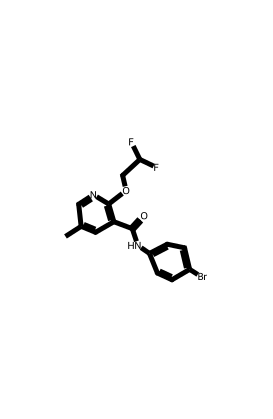 Cc1cnc(OCC(F)F)c(C(=O)Nc2ccc(Br)cc2)c1